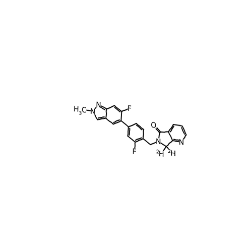 [2H]C1([2H])c2ncccc2C(=O)N1Cc1ccc(-c2cc3cn(C)nc3cc2F)cc1F